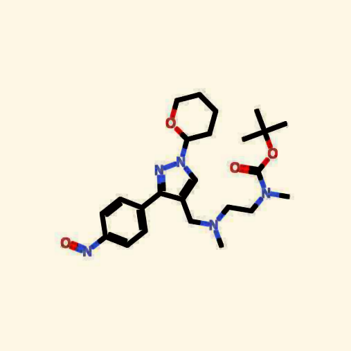 CN(CCN(C)C(=O)OC(C)(C)C)Cc1cn(C2CCCCO2)nc1-c1ccc(N=O)cc1